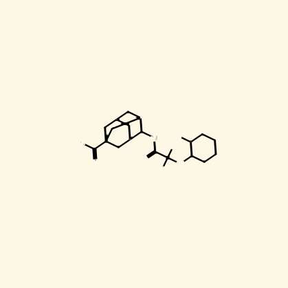 CC1CCCCC1OC(C)(C)C(=O)NC1C2CC3CC1CC(C(N)=O)(C3)C2